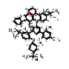 Cc1cc(C)c(-c2cc(-c3cc(C(C)(C)C)ccc3Nc3ccc(C(C)(C)C)cc3)c3c(c2)N(c2ccc(C(C)(C)C)cc2-c2ccccc2)c2ccc4oc5ccccc5c4c2B3)c(C)c1